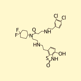 O=C(CCNCCc1ccc(Cl)c(Cl)c1)N(CCNCCc1ccc(O)c2[nH]c(=O)sc12)C1CCC(F)(F)CC1